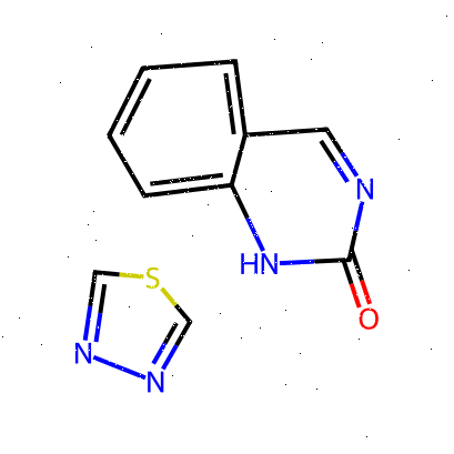 O=c1ncc2ccccc2[nH]1.c1nncs1